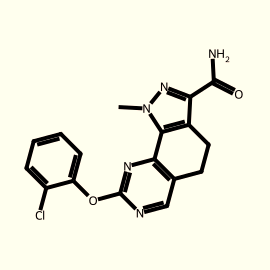 Cn1nc(C(N)=O)c2c1-c1nc(Oc3ccccc3Cl)ncc1CC2